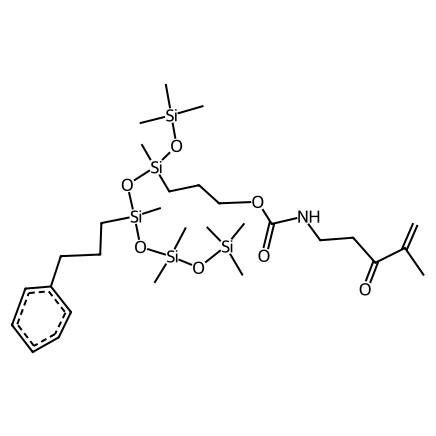 C=C(C)C(=O)CCNC(=O)OCCC[Si](C)(O[Si](C)(C)C)O[Si](C)(CCCc1ccccc1)O[Si](C)(C)O[Si](C)(C)C